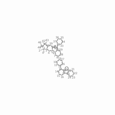 CC1(C)c2cc3c4cc(-c5ccc(-c6cccc7c6oc6ccccc67)cc5)ccc4n(-c4ccccc4)c3cc2C(C)(C)C1(C)C